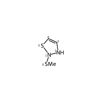 [CH2]SN1NC=CS1